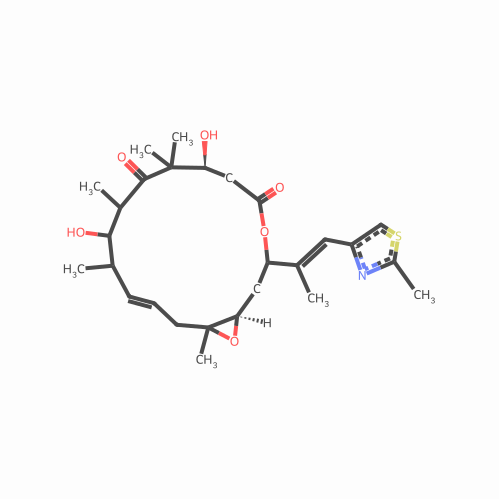 C/C(=C\c1csc(C)n1)C1C[C@H]2OC2(C)C/C=C/C(C)C(O)C(C)C(=O)C(C)(C)[C@@H](O)CC(=O)O1